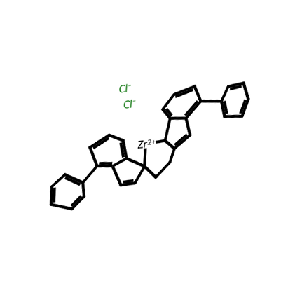 C1=C[C]2(CCC3=Cc4c(-c5ccccc5)cccc4[CH]3[Zr+2]2)c2cccc(-c3ccccc3)c21.[Cl-].[Cl-]